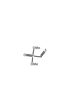 COP(=O)(C=S)OC